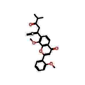 C=C=C(CC(=O)C(C)C)c1ccc2c(=O)cc(-c3ccccc3OC)oc2c1OC